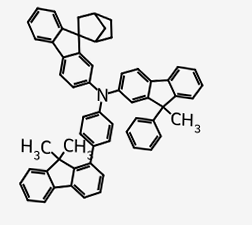 CC1(C)c2ccccc2-c2cccc(-c3ccc(N(c4ccc5c(c4)C(C)(c4ccccc4)c4ccccc4-5)c4ccc5c(c4)C4(CC6CCC4C6)c4ccccc4-5)cc3)c21